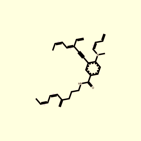 C=C/C=C\N(C)c1ccc(C(=O)NCCCC(=C)/C=C\C=C/C)cc1C#C/C(C=C)=C/C=C\C